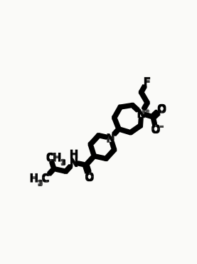 CC(C)CNC(=O)C1CCN(C2CCC[N+](CCF)(C(=O)[O-])CC2)CC1